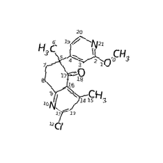 COc1cc(C2(C)CCc3nc(Cl)cc(C)c3C2=O)ccn1